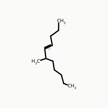 CCC/C=C/C(C)CCCCC